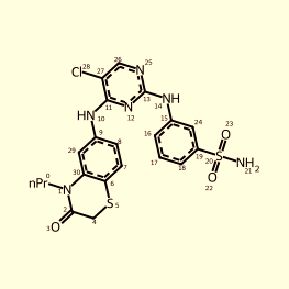 CCCN1C(=O)CSc2ccc(Nc3nc(Nc4cccc(S(N)(=O)=O)c4)ncc3Cl)cc21